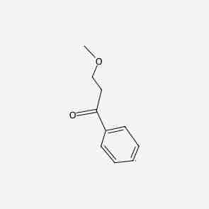 COCCC(=O)c1cc[c]cc1